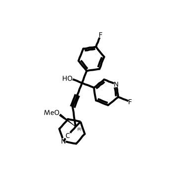 CO[C@]1(C#CC(O)(c2ccc(F)cc2)c2ccc(F)nc2)CN2CCC1CC2